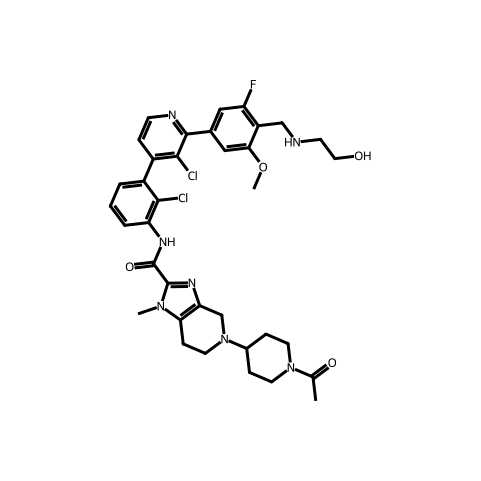 COc1cc(-c2nccc(-c3cccc(NC(=O)c4nc5c(n4C)CCN(C4CCN(C(C)=O)CC4)C5)c3Cl)c2Cl)cc(F)c1CNCCO